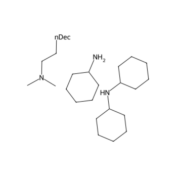 C1CCC(NC2CCCCC2)CC1.CCCCCCCCCCCCN(C)C.NC1CCCCC1